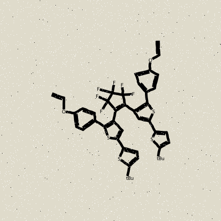 C=COc1ccc(-c2sc(-c3ccc(C(C)(C)C)s3)cc2C2=C(c3cc(-c4ccc(C(C)(C)C)s4)sc3-c3ccc(OC=C)cc3)C(F)(F)C(F)(F)C2(F)F)cc1